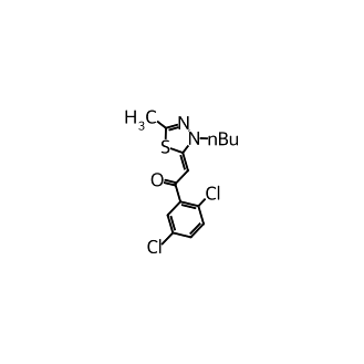 CCCCN1N=C(C)SC1=CC(=O)c1cc(Cl)ccc1Cl